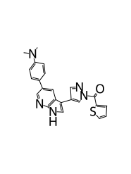 CN(C)c1ccc(-c2cnc3[nH]cc(-c4cnn(C(=O)c5cccs5)c4)c3c2)cc1